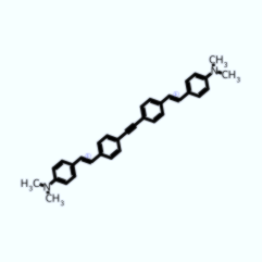 CN(C)c1ccc(/C=C/c2ccc(C#Cc3ccc(/C=C/c4ccc(N(C)C)cc4)cc3)cc2)cc1